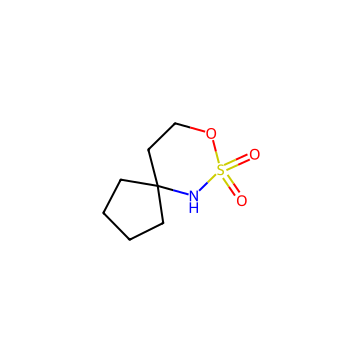 O=S1(=O)NC2(CCCC2)CCO1